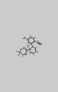 CC1(C)COB(C2(F)C=CC=CC2c2cc(F)ccc2C#N)OC1